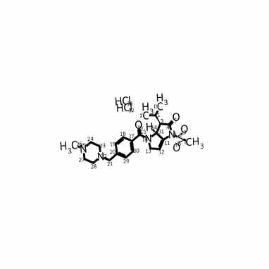 CC(C)[C@H]1C(=O)N(S(C)(=O)=O)C2=CCN(C(=O)c3ccc(CN4CCN(C)CC4)cc3)[C@@H]21.Cl.Cl